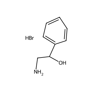 Br.NCC(O)c1ccccc1